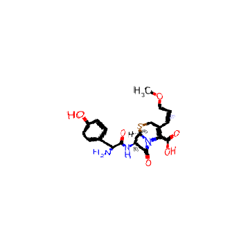 COC/C=C\C1=C(C(=O)O)N2C(=O)[C@@H](NC(=O)C(N)c3ccc(O)cc3)[C@H]2SC1